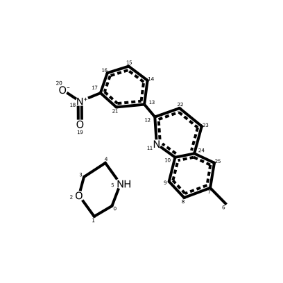 C1COCCN1.Cc1ccc2nc(-c3cccc([N+](=O)[O-])c3)ccc2c1